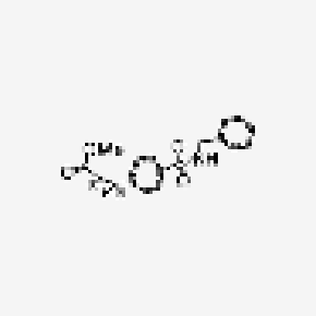 COC(=O)[C@@H]1C[C@H]1c1ccc(S(=O)(=O)NCc2ccccc2)cc1